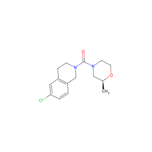 C[C@H]1CN(C(=O)N2CCc3cc(Cl)ccc3C2)CCO1